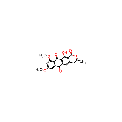 COc1cc(OC)c2c(c1)C(=O)c1cc3c(c(O)c1C2=O)C(=O)O[C@@H](C)C3